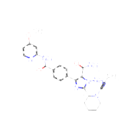 CC#CN1CCCC[C@H]1c1nc(-c2ccc(C(=O)Nc3cc(OC)ccn3)cc2)c(C(N)=O)n1N